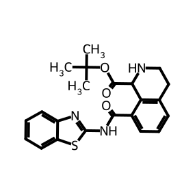 CC(C)(C)OC(=O)C1NCCc2cccc(C(=O)Nc3nc4ccccc4s3)c21